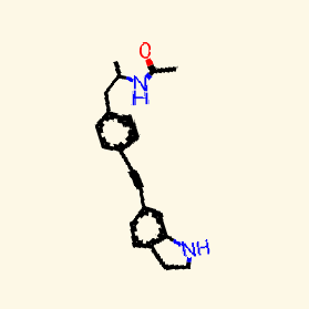 CC(=O)NC(C)Cc1ccc(C#Cc2ccc3c(c2)NCC3)cc1